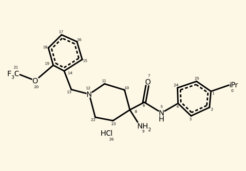 CC(C)c1ccc(NC(=O)C2(N)CCN(Cc3ccccc3OC(F)(F)F)CC2)cc1.Cl